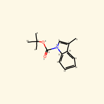 Cc1cn(C(=O)OC(C)(C)C)c2ccccc12